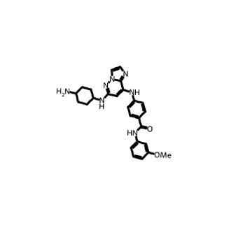 COc1cccc(NC(=O)c2ccc(Nc3cc(NC4CCC(N)CC4)nn4ccnc34)cc2)c1